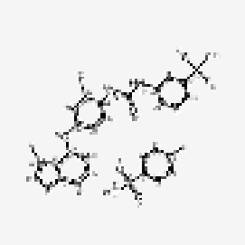 Cc1ccc(S(=O)(=O)O)cc1.Cn1ccc2ncnc(Oc3ccc(NC(=O)Nc4cccc(C(F)(F)F)c4)c(F)c3)c21